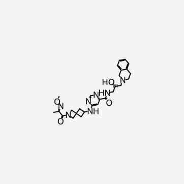 CON=C(C)C(=O)N1CC2(CC(Nc3cc(C(=O)NC[C@H](O)CN4CCc5ccccc5C4)ncn3)C2)C1